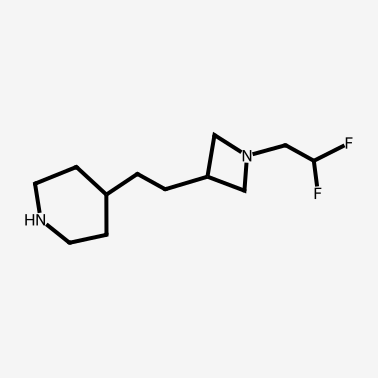 FC(F)CN1CC(CCC2CCNCC2)C1